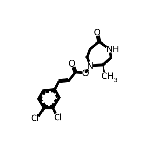 C[C@@H]1CNC(=O)CCN1OC(=O)/C=C/c1ccc(Cl)c(Cl)c1